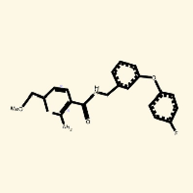 COCC(C)/C=C\C(C(=O)NCc1cccc(Oc2ccc(F)cc2)c1)=C(/C)N